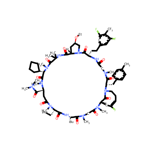 CCO[C@@H]1C[C@H]2C(=O)NC(C)(C)C(=O)N(C)[C@@H](C3CCCC3)C(=O)N(C)[C@H](C(=O)N(C)C)CC(=O)N(C)[C@@H](CC(C)C)C(=O)N[C@@H]([C@@H](C)CC)C(=O)N(C)CC(=O)N(C)[C@H]3C/C(F)=C\CCN(C3=O)[C@@H](Cc3ccc(C)cc3)C(=O)N(C)CC(=O)N[C@@H](CCc3cc(F)c(C(F)(F)F)c(F)c3)C(=O)N2C1